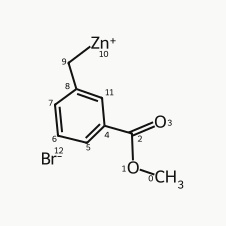 COC(=O)c1cccc([CH2][Zn+])c1.[Br-]